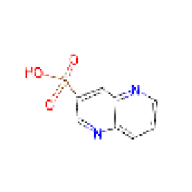 O=S(=O)(O)c1cnc2cccnc2c1